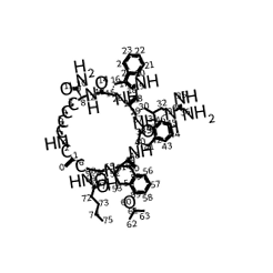 C=C1CNCCCC[C@@H](C(N)=O)NC(=O)[C@H](Cc2c[nH]c3ccccc23)NC(=C)[C@H](CCCNC(=N)N)NC(=O)[C@@H](Cc2ccccc2)NC(=C)C2(CCc3c(cccc3OC(C)C)C2)NC(=O)[C@@H](NC(=O)CCCC)C1